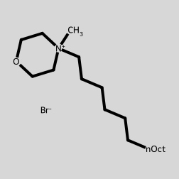 CCCCCCCCCCCCCC[N+]1(C)CCOCC1.[Br-]